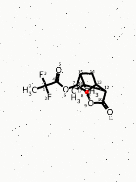 CC(F)(F)C(=O)OC1C2OC(=O)C3C2CC1C3(C)C